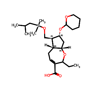 CCC1O[C@H]2C[C@@H](OC3CCCCO3)[C@H](CO[Si](C)(C)CC(C)C)[C@H]2CC=C1C(=O)O